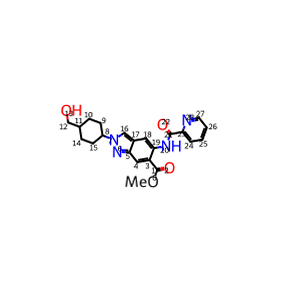 COC(=O)c1cc2nn(C3CCC(CO)CC3)cc2cc1NC(=O)c1ccccn1